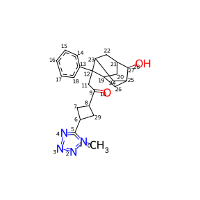 Cn1nnnc1C1CC(C(=O)CC2(c3ccccc3)C3CC4CC2CC(C3)C4O)C1